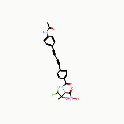 CC(=O)Nc1ccc(C#CC#Cc2ccc(C(=O)N[C@H](C(=O)NO)C(C)(O)C(F)F)cc2)cc1